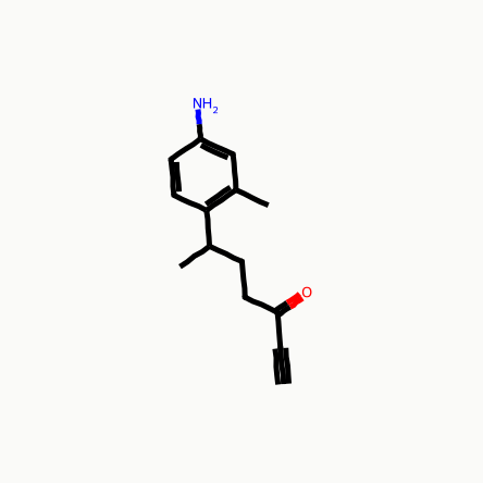 C#CC(=O)CCC(C)c1ccc(N)cc1C